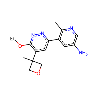 CCOc1nnc(-c2cc(N)cnc2C)cc1C1(C)COC1